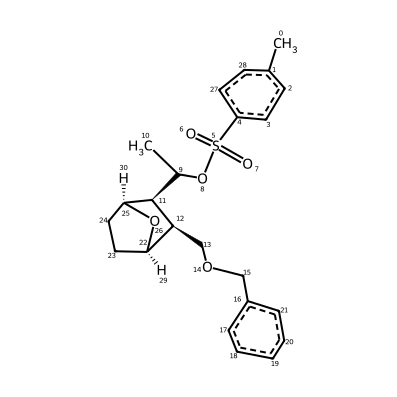 Cc1ccc(S(=O)(=O)OC(C)[C@H]2[C@@H](COCc3ccccc3)[C@H]3CC[C@@H]2O3)cc1